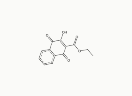 CCOC(=O)C1=C(O)C(=O)c2ccccc2C1=O